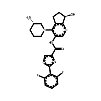 N[C@H]1CCCN(c2c(NC(=O)c3csc(-c4c(F)cccc4F)n3)cnc3c2CC[C@H]3O)C1